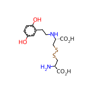 N[C@@H](CSSC[C@H](NCCc1cc(O)ccc1O)C(=O)O)C(=O)O